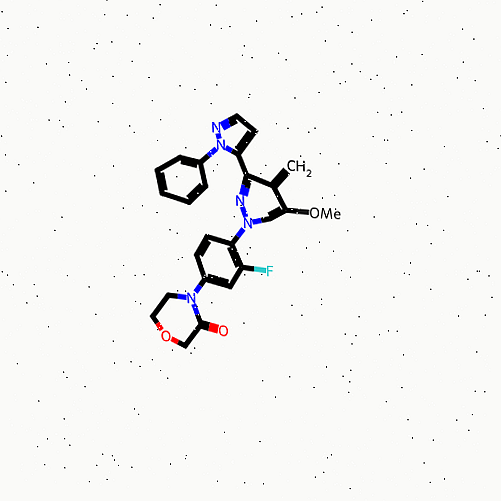 C=C1C(OC)=CN(c2ccc(N3CCOCC3=O)cc2F)N=C1c1ccnn1-c1ccccc1